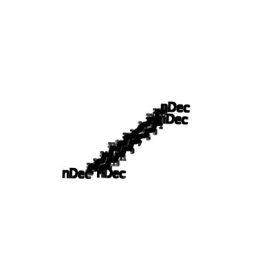 CCCCCCCCCCCCCCCCCCCCCCCCCCCCCCCCCCCC.CCCCCCCCCCCCCCCCCCCCCCCCCCCCCCCCCCCCCCCC